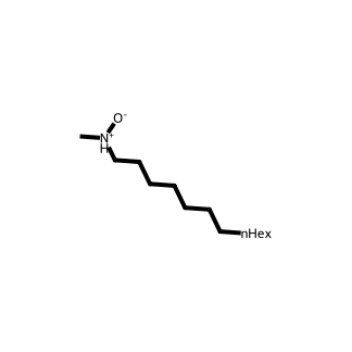 CCCCCCCCCCCCC[NH+](C)[O-]